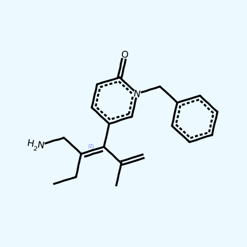 C=C(C)/C(=C(\CC)CN)c1ccc(=O)n(Cc2ccccc2)c1